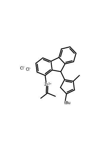 C[C](C)=[Zr+2][c]1cccc2c1C(C1=C(C)C=C(C(C)(C)C)C1)c1ccccc1-2.[Cl-].[Cl-]